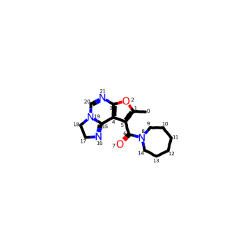 Cc1oc2c(c1C(=O)N1CCCCCC1)C1=NCCN1C=N2